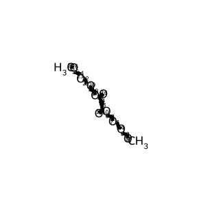 COCCOCCOCCOC(=O)C#CC(=O)OCCOCCOCCOC